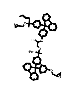 CC=C=CC(C)(OCC1CO1)c1ccc(C2(c3ccc(OC(O)COC(C)(CCCCC)c4ccc(C5(c6ccc(OCC7CO7)cc6)c6ccccc6-c6ccccc65)cc4)cc3)c3ccccc3-c3ccccc32)cc1